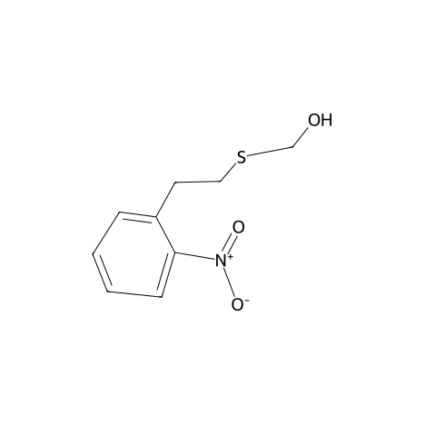 O=[N+]([O-])c1ccccc1CCSCO